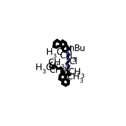 CCCCN1/C(=C/C=C(Cl)/C=C/C2=[N+](CCC[N+](C)(C)C)c3ccc4ccccc4c3C2(C)C)C(C)(C)c2c1ccc1ccccc21